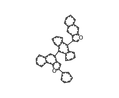 c1ccc(-c2cc3c(-c4c5ccccc5c(-c5coc6cc7ccccc7cc56)c5ccccc45)cc4ccccc4c3o2)cc1